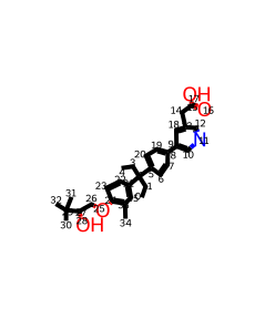 CCC(CC)(c1ccc(-c2cncc(CC(=O)O)c2)cc1)c1ccc(OCC(O)C(C)(C)C)c(C)c1